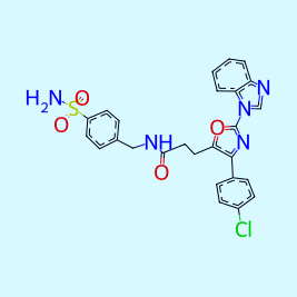 NS(=O)(=O)c1ccc(CNC(=O)CCc2oc(-n3cnc4ccccc43)nc2-c2ccc(Cl)cc2)cc1